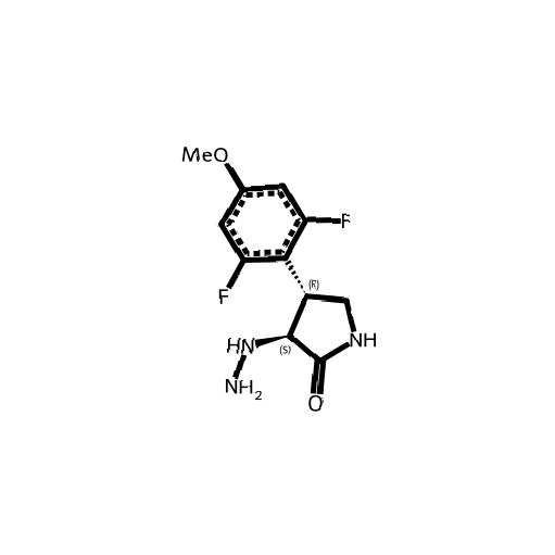 COc1cc(F)c([C@@H]2CNC(=O)[C@H]2NN)c(F)c1